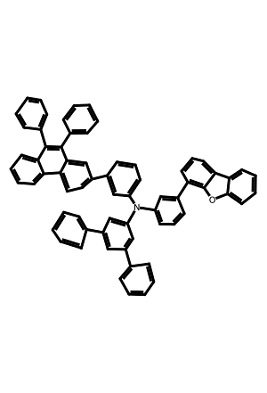 c1ccc(-c2cc(-c3ccccc3)cc(N(c3cccc(-c4ccc5c(c4)c(-c4ccccc4)c(-c4ccccc4)c4ccccc45)c3)c3cccc(-c4cccc5c4oc4ccccc45)c3)c2)cc1